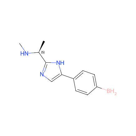 Bc1ccc(-c2cnc([C@H](C)NC)[nH]2)cc1